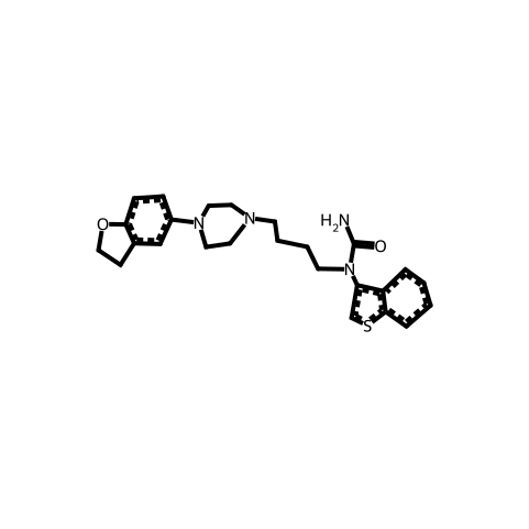 NC(=O)N(CCCCN1CCN(c2ccc3c(c2)CCO3)CC1)c1csc2ccccc12